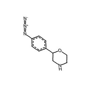 [N-]=[N+]=Nc1ccc(C2CNCCO2)cc1